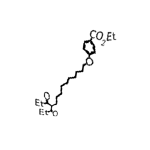 CCOC(=O)c1ccc(OCCCCCCCCCCC(C(=O)CC)C(=O)CC)cc1